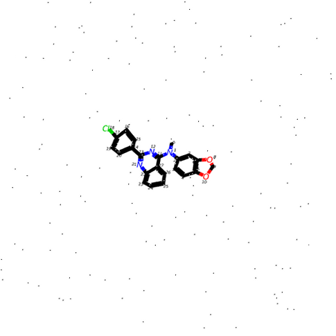 CN(c1ccc2c(c1)OCO2)c1nc(-c2ccc(Cl)cc2)nc2ccccc12